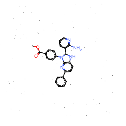 COC(=O)c1ccc(N2c3nc(-c4ccccc4)ccc3NC2c2cccnc2N)cc1